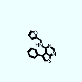 c1ccc(-c2csc3ncnc(NCc4ccco4)c23)cc1